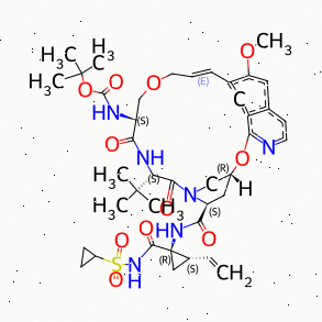 C=C[C@@H]1C[C@]1(NC(=O)[C@@H]1C[C@@H]2CN1C(=O)[C@H](C(C)(C)C)NC(=O)[C@@H](NC(=O)OC(C)(C)C)COC/C=C/c1cc3c(nccc3cc1OC)O2)C(=O)NS(=O)(=O)C1CC1